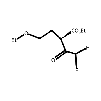 CCOCC[C@@H](C(=O)OCC)C(=O)C(F)F